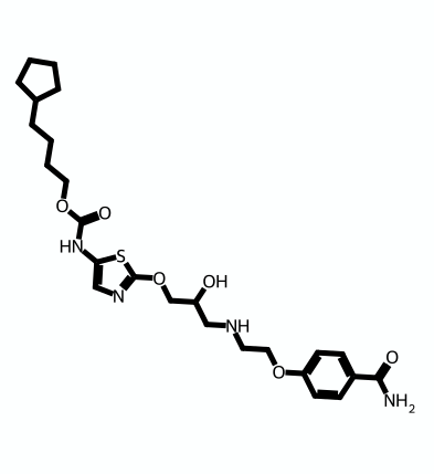 NC(=O)c1ccc(OCCNCC(O)COc2ncc(NC(=O)OCCCCC3CCCC3)s2)cc1